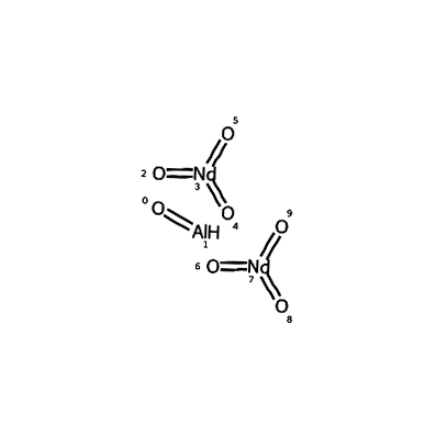 [O]=[AlH].[O]=[Nd](=[O])=[O].[O]=[Nd](=[O])=[O]